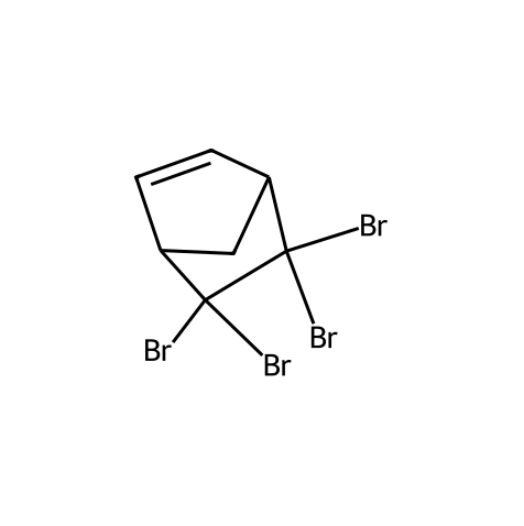 BrC1(Br)C2C=CC(C2)C1(Br)Br